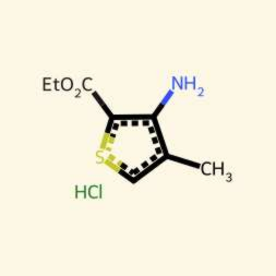 CCOC(=O)c1scc(C)c1N.Cl